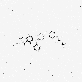 CCN(C(=O)c1cc(F)ccc1Oc1cncnc1NC1CCN(C[C@H]2CC[C@H](NC(=O)OC(C)(C)C)CC2)CC1)C(C)C